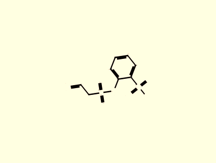 C=CCS(=O)(=O)Oc1ccccc1S([O])(=O)=O